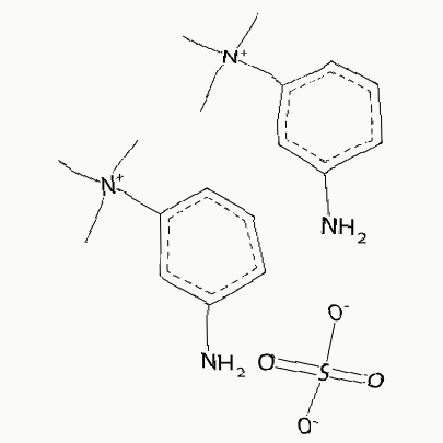 C[N+](C)(C)c1cccc(N)c1.C[N+](C)(C)c1cccc(N)c1.O=S(=O)([O-])[O-]